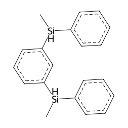 C[SiH](c1ccccc1)c1cccc([SiH](C)c2ccccc2)c1